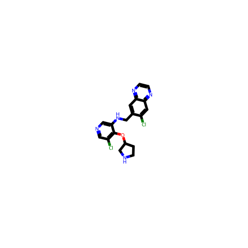 Clc1cc2nccnc2cc1CNc1cncc(Cl)c1OC1CCNC1